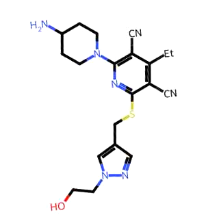 CCc1c(C#N)c(SCc2cnn(CCO)c2)nc(N2CCC(N)CC2)c1C#N